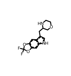 FC1(F)Oc2cc3[nH]cc(CC4COCCN4)c3cc2O1